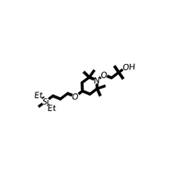 CC[Si](C)(CC)CCCOC1CC(C)(C)N(OCC(C)(C)O)C(C)(C)C1